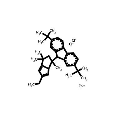 CCC1=CC2C(=C1)C(C)(C)CC2(C)C1c2cc(C(C)(C)C)ccc2-c2ccc(C(C)(C)C)cc21.[Cl-].[Cl-].[Zr+2]